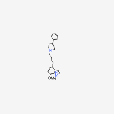 COc1ccc(CCCCN2CC=C(c3ccccc3)CC2)c2cc[nH]c12